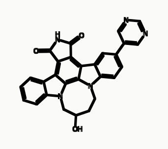 O=C1NC(=O)c2c1c1c3cc(-c4cncnc4)ccc3n3c1c1c2c2ccccc2n1CC(O)CC3